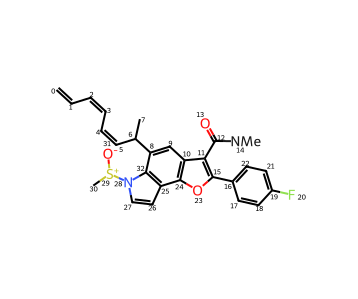 C=C/C=C\C=C/C(C)c1cc2c(C(=O)NC)c(-c3ccc(F)cc3)oc2c2ccn([S+](C)[O-])c12